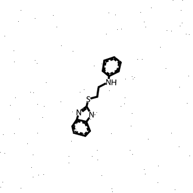 c1ccc(NCCSC2=Nc3ccccc3[N]2)cc1